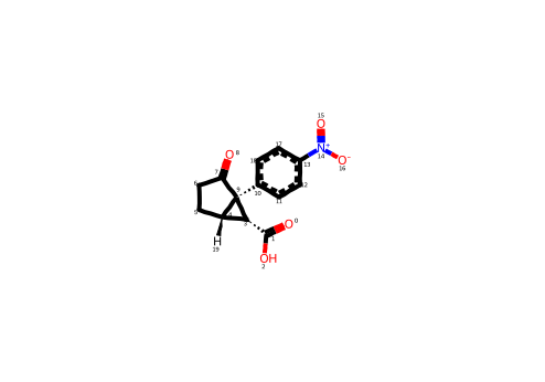 O=C(O)[C@@H]1[C@@H]2CCC(=O)[C@@]12c1ccc([N+](=O)[O-])cc1